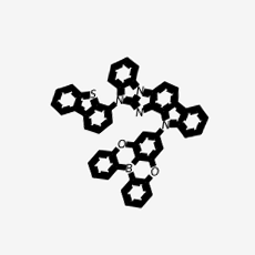 c1ccc2c(c1)Oc1cc(-n3c4ccccc4c4ccc5c(nc6n(-c7cccc8c7sc7ccccc78)c7ccccc7n56)c43)cc3c1B2c1ccccc1O3